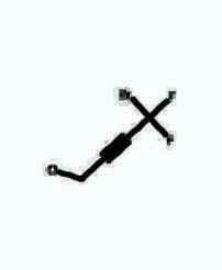 [O]CC#CC(F)(F)Br